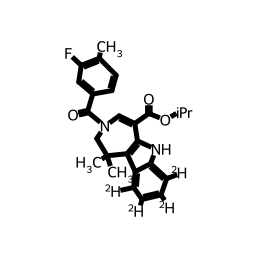 [2H]c1c([2H])c([2H])c2c3c([nH]c2c1[2H])C(C(=O)OC(C)C)=CN(C(=O)c1ccc(C)c(F)c1)CC3(C)C